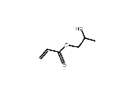 C=CC(=O)OC[C](C)O